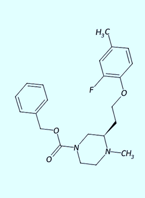 Cc1ccc(OCC[C@@H]2CN(C(=O)OCc3ccccc3)CCN2C)c(F)c1